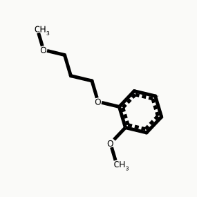 COCCCOc1c[c]ccc1OC